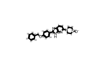 [O-][S+]1CCN(c2ccc3nc(-c4ccc(OCc5ccccc5)cc4)[nH]c3n2)CC1